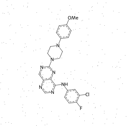 COc1ccc(N2CCN(c3ncc4ncnc(Nc5ccc(F)c(Cl)c5)c4n3)CC2)cc1